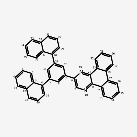 c1ccc2c(-c3cc(-c4cnc5c6ccccc6c6ccccc6c5n4)cc(-c4cccc5ccccc45)c3)cccc2c1